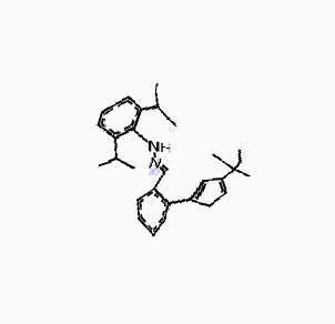 CC(C)c1cccc(C(C)C)c1N/N=C/c1ccccc1C1=CC(C(C)(C)C)=CC1